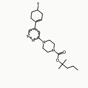 CCCC(C)(C)OC(=O)N1CCN(c2cc(C3=CCC(F)CC3)cnn2)CC1